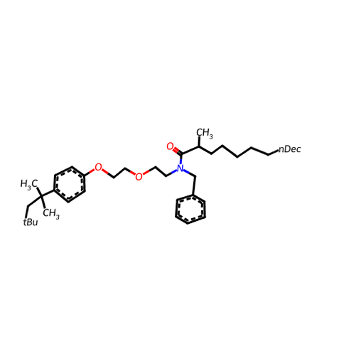 CCCCCCCCCCCCCCCC(C)C(=O)N(CCOCCOc1ccc(C(C)(C)CC(C)(C)C)cc1)Cc1ccccc1